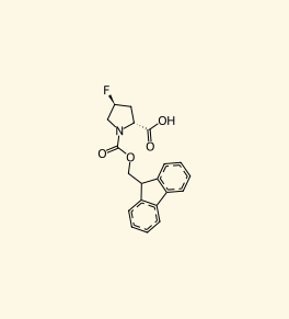 O=C(O)[C@H]1C[C@H](F)CN1C(=O)OCC1c2ccccc2-c2ccccc21